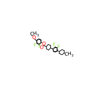 CCOCc1ccc(OC(=O)C2CCC(c3ccc(C4CCC(C)CC4)c(F)c3F)CC2)c(F)c1F